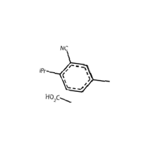 CC(=O)O.Cc1ccc(C(C)C)c(C#N)c1